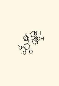 CCC(C(=O)c1cc(OC)c(OC)c(OC)c1)(C1(c2cccs2)CCNC1)S(=O)(=O)O